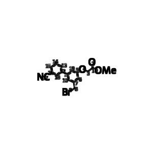 COC(=O)COc1cc(CBr)cc(-c2cccc(C#N)c2)c1